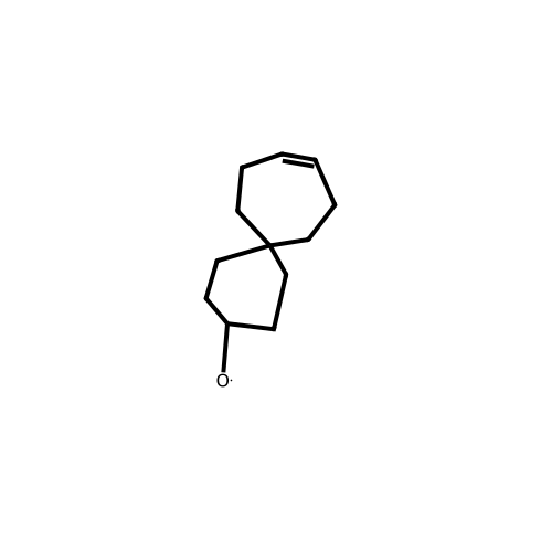 [O]C1CCC2(CCC=CCC2)CC1